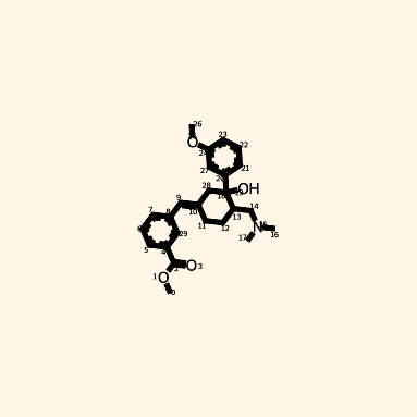 COC(=O)c1cccc(/C=C2\CCC(CN(C)C)C(O)(c3cccc(OC)c3)C2)c1